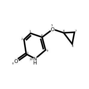 O=c1ccc(OC2CC2)c[nH]1